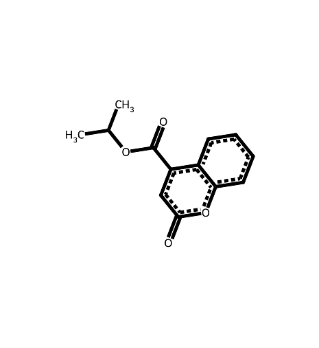 CC(C)OC(=O)c1cc(=O)oc2ccccc12